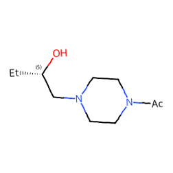 CC[C@H](O)CN1CCN(C(C)=O)CC1